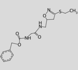 CCSC1=NOC(CNC(=O)CNC(=O)OCc2ccccc2)C1